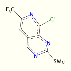 CSc1ncc2cc(C(F)(F)F)nc(Cl)c2n1